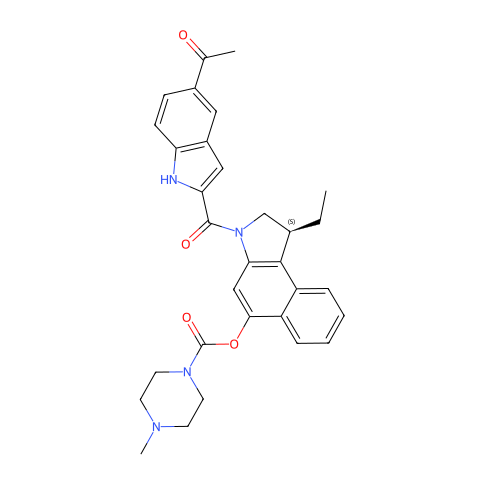 CC[C@@H]1CN(C(=O)c2cc3cc(C(C)=O)ccc3[nH]2)c2cc(OC(=O)N3CCN(C)CC3)c3ccccc3c21